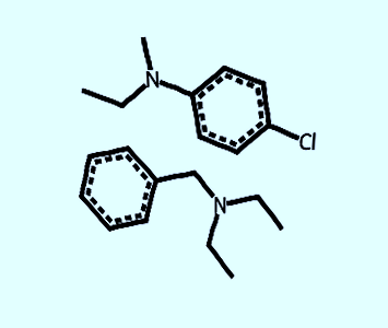 CCN(C)c1ccc(Cl)cc1.CCN(CC)Cc1ccccc1